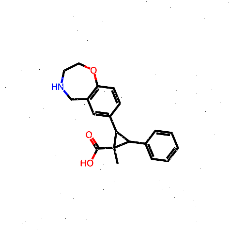 CC1(C(=O)O)C(c2ccccc2)C1c1ccc2c(c1)CNCCO2